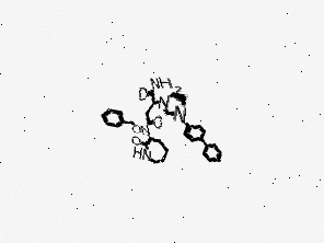 NC(=O)C(CC(=O)N(OCc1ccccc1)[C@H]1CCCCNC1=O)N1C=CN(c2ccc(-c3ccccc3)cc2)C1